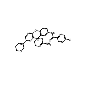 NC1=NCC[C@]2(O1)c1cc(NC(=O)c3ccc(Cl)cn3)ccc1Oc1ncc(C3=CCCOC3)cc12